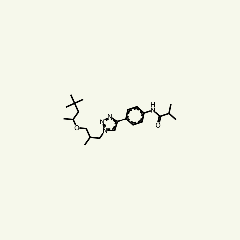 CC(COC(C)CC(C)(C)C)Cn1cc(-c2ccc(NC(=O)C(C)C)cc2)nn1